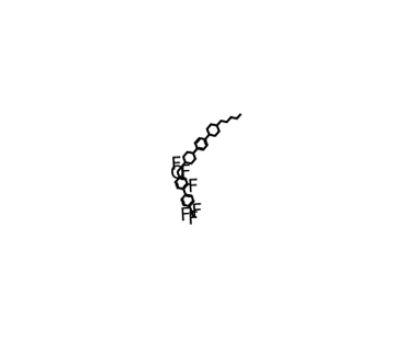 CCCCCC1CCC(c2ccc(C3CCC(C(F)(F)Oc4ccc(-c5ccc(C(F)(F)F)cc5)c(F)c4)CC3)cc2)CC1